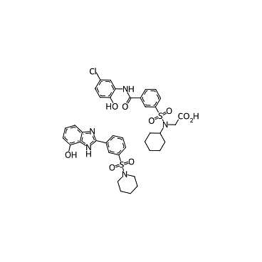 O=C(O)CN(C1CCCCC1)S(=O)(=O)c1cccc(C(=O)Nc2cc(Cl)ccc2O)c1.O=S(=O)(c1cccc(-c2nc3cccc(O)c3[nH]2)c1)N1CCCCC1